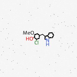 COc1cc(Cc2c[nH]c3ccccc23)cc(Cl)c1O